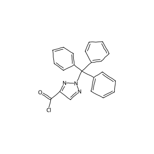 O=C(Cl)c1cnn(C(c2ccccc2)(c2ccccc2)c2ccccc2)n1